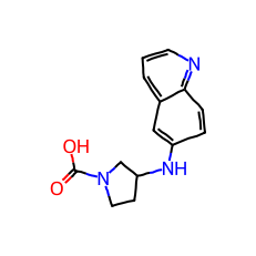 O=C(O)N1CCC(Nc2ccc3ncccc3c2)C1